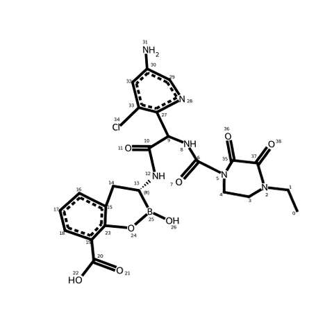 CCN1CCN(C(=O)NC(C(=O)N[C@H]2Cc3cccc(C(=O)O)c3OB2O)c2ncc(N)cc2Cl)C(=O)C1=O